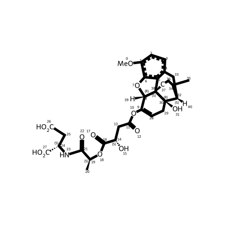 COc1ccc2c3c1O[C@H]1C(OC(=O)C[C@H](O)C(=O)O[C@@H](C)C(=O)N[C@@H](CC(=O)O)C(=O)O)=CC[C@@]4(O)[C@@H](C2)C(C)CC[C@]314